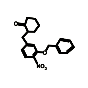 O=C1CCCCC1Cc1ccc([N+](=O)[O-])c(OCc2ccccc2)c1